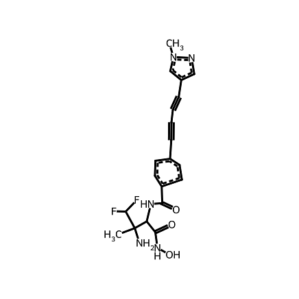 Cn1cc(C#CC#Cc2ccc(C(=O)NC(C(=O)NO)C(C)(N)C(F)F)cc2)cn1